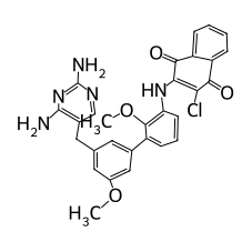 COc1cc(Cc2cnc(N)nc2N)cc(-c2cccc(NC3=C(Cl)C(=O)c4ccccc4C3=O)c2OC)c1